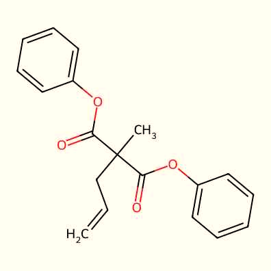 C=CCC(C)(C(=O)Oc1ccccc1)C(=O)Oc1ccccc1